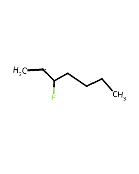 C[CH]C(F)CCCC